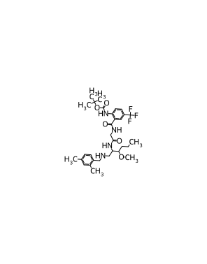 CCCC(OC)C(CNCc1ccc(C)cc1C)NC(=O)CNC(=O)c1cc(C(F)(F)F)ccc1NC(=O)OC(C)(C)C